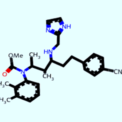 COC(=O)N(c1cccc(C)c1C)C(C)C(C)C(CCc1ccc(C#N)cc1)NCc1ncc[nH]1